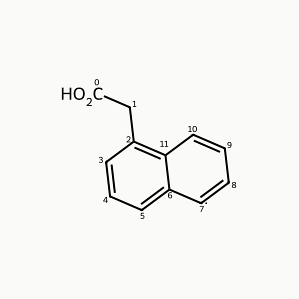 O=C(O)Cc1cccc2[c]cccc12